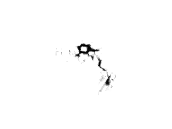 NC(=O)c1cccc2cn(CCCOC(=O)C(F)(F)F)nc12